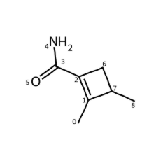 CC1=C(C(N)=O)CC1C